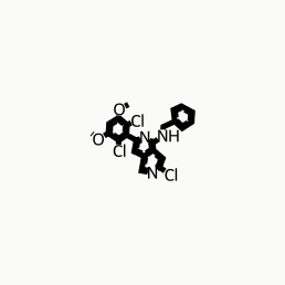 COc1cc(OC)c(Cl)c(-c2cc3cnc(Cl)cc3c(NCc3ccccc3)n2)c1Cl